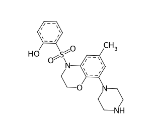 Cc1cc(N2CCNCC2)c2c(c1)N(S(=O)(=O)c1ccccc1O)CCO2